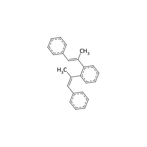 CC(=Cc1ccccc1)c1ccccc1C(C)=Cc1ccccc1